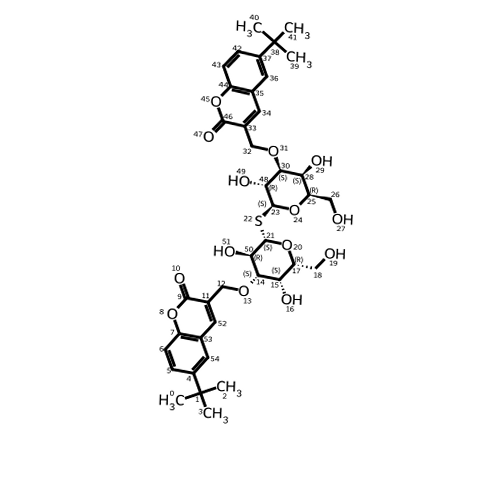 CC(C)(C)c1ccc2oc(=O)c(CO[C@H]3[C@@H](O)[C@@H](CO)O[C@@H](S[C@@H]4O[C@H](CO)[C@H](O)[C@H](OCc5cc6cc(C(C)(C)C)ccc6oc5=O)[C@H]4O)[C@@H]3O)cc2c1